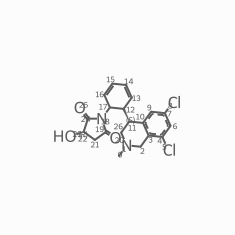 CN1Cc2c(Cl)cc(Cl)cc2[C@H](C2C=CC=CC2N2C(=O)C[C@@H](O)C2=O)C1